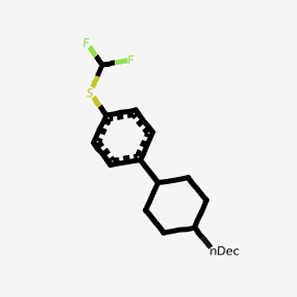 CCCCCCCCCCC1CCC(c2ccc(SC(F)F)cc2)CC1